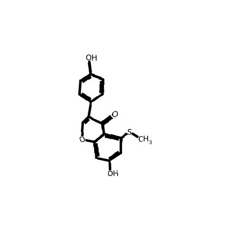 CSc1cc(O)cc2occ(-c3ccc(O)cc3)c(=O)c12